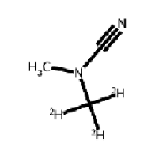 [2H]C([2H])([2H])N(C)C#N